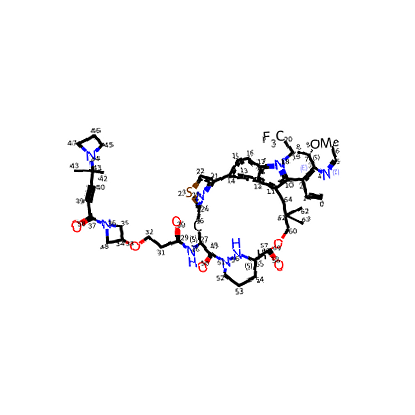 C=C/C(=C(\N=C/C)[C@H](C)OC)c1c2c3cc(ccc3n1CC(F)(F)F)-c1csc(n1)C[C@H](NC(=O)CCOC1CN(C(=O)C#CC(C)(C)N3CCC3)C1)C(=O)N1CCC[C@H](N1)C(=O)OCC(C)(C)C2